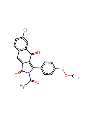 COSc1ccc(C2=C3C(=O)c4cc(Cl)ccc4C=C3C(=O)N2C(C)=O)cc1